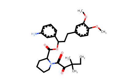 CCC(C)(C)C(=O)C(=O)N1CCCCC1C(=O)OC(CCc1ccc(OC)c(OC)c1)c1cccc(N)c1